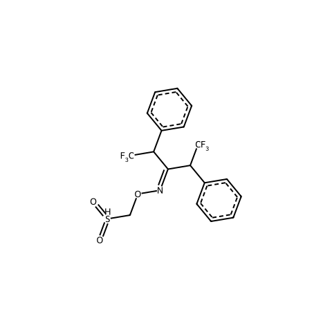 O=[SH](=O)CON=C(C(c1ccccc1)C(F)(F)F)C(c1ccccc1)C(F)(F)F